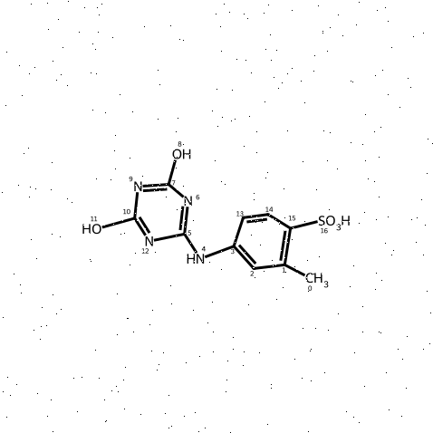 Cc1cc(Nc2nc(O)nc(O)n2)ccc1S(=O)(=O)O